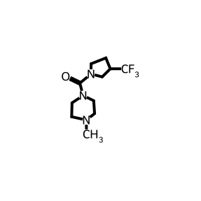 CN1CCN(C(=O)N2CCC(C(F)(F)F)C2)CC1